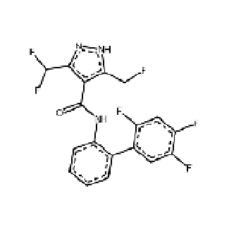 O=C(Nc1ccccc1-c1cc(F)c(F)cc1F)c1c(C(F)F)n[nH]c1CF